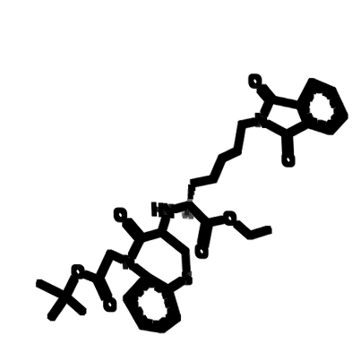 CCOC(=O)[C@@H](CCCCCN1C(=O)c2ccccc2C1=O)NC1CSc2ccccc2N(CC(=O)OC(C)(C)C)C1=O